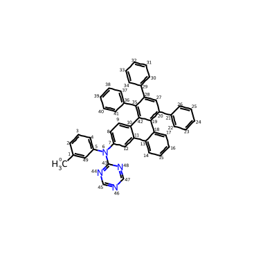 Cc1cccc(N(c2ccc3c(c2)c2ccccc2c2c(-c4ccccc4)cc(-c4ccccc4)c(-c4ccccc4)c32)c2ncncn2)c1